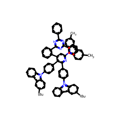 Cc1ccc2c(c1)c1cc(C)ccc1n2-c1cc(-c2ccccc2-c2nc(-c3ccccc3)nc(-c3ccccc3)n2)c(-c2ccc(-n3c4ccccc4c4cc(C(C)(C)C)ccc43)cc2)c(-c2ccc(-n3c4ccccc4c4cc(C(C)(C)C)ccc43)cc2)n1